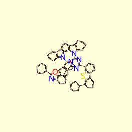 c1ccc(-c2nc(-c3cccc4c3sc3c(-c5ccccc5)cccc34)nc(-n3c4ccccc4c4ccc5c6ccccc6n(-c6cccc(-c7cccc8nc(-c9ccccc9)oc78)c6)c5c43)n2)cc1